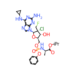 CC(C)OC(=O)[C@@H](C)NP(=O)(OC[C@H]1O[C@@H](n2cnc3c(NC4CC4)nc(N)nc32)[C@@](Cl)(CF)[C@@H]1O)Oc1ccccc1